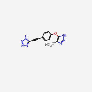 O=C(O)c1nn[nH]c1Oc1ccc(C#Cc2nnn[nH]2)cc1